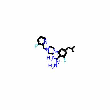 CC(C)Cc1cc(F)c(/C(N)=N/N)c(N2CCN(Cc3ncccc3F)CC2)c1